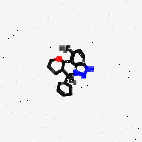 Cc1ccc2[nH]nnc2c1C1OCCCC1C(C)C1C=CC=CC1